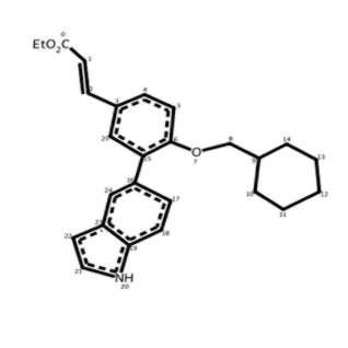 CCOC(=O)C=Cc1ccc(OCC2CCCCC2)c(-c2ccc3[nH]ccc3c2)c1